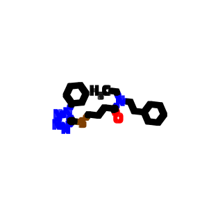 CCN(CCC1CCCCC1)C(=O)CCCSc1nnnn1C1CCCCC1